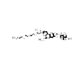 COc1nc(N(C)CCOCCOCCOCCN)ccc1-c1nc2nc(O[C@@H]3CO[C@H]4[C@@H]3OC[C@H]4O)[nH]c2cc1Cl